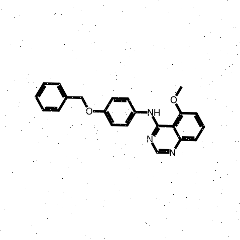 COc1cccc2ncnc(Nc3ccc(OCc4ccccc4)cc3)c12